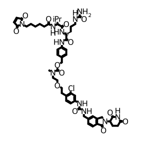 CC(C)[C@H](NC(=O)CCCCCN1C(=O)C=CC1=O)C(=O)N[C@@H](CCCNC(N)=O)C(=O)Nc1ccc(COC(=O)N(C)CCOCCc2ccc(NC(=O)NCc3ccc4c(c3)CN(C3CCC(=O)NC3=O)C4=O)cc2Cl)cc1